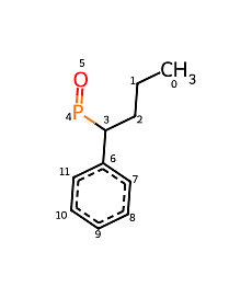 CCCC(P=O)c1ccccc1